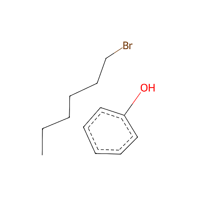 CCCCCCBr.Oc1ccccc1